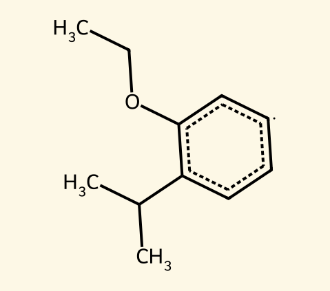 CCOc1c[c]ccc1C(C)C